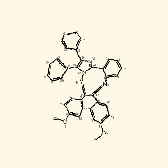 COc1ccc(C2=N/c3ccccc3-c3nc(-c4ccccc4)c(-c4ccccc4)n3/N=C\2c2ccc(OC)cc2)cc1